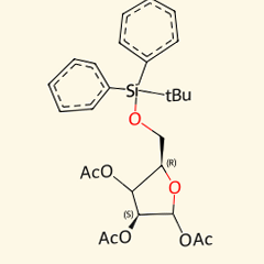 CC(=O)OC1O[C@H](CO[Si](c2ccccc2)(c2ccccc2)C(C)(C)C)C(OC(C)=O)[C@@H]1OC(C)=O